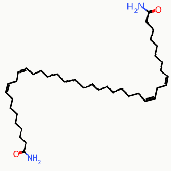 NC(=O)CCCCCCC/C=C\C/C=C\CCCCCCCCCCCCCC/C=C\C/C=C\CCCCCCCC(N)=O